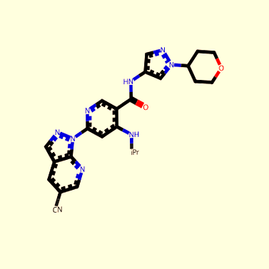 CC(C)Nc1cc(-n2ncc3cc(C#N)cnc32)ncc1C(=O)Nc1cnn(C2CCOCC2)c1